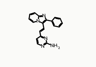 Nc1nccc(C=Cc2c(-c3ccccc3)nc3ccccn23)n1